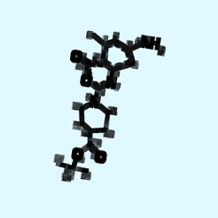 Cc1cc(N)cc2nc(N3CCC(C(=O)OC(C)(C)C)CC3)oc(=O)c12